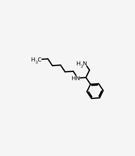 CCCCCCNC(CN)c1ccccc1